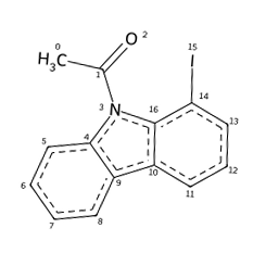 CC(=O)n1c2ccccc2c2cccc(I)c21